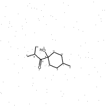 CC1CCC(O)(C(=O)C(C)C)CC1